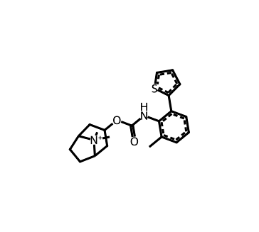 Cc1cccc(-c2cccs2)c1NC(=O)OC1CC2CCC(C1)[N+]2(C)C